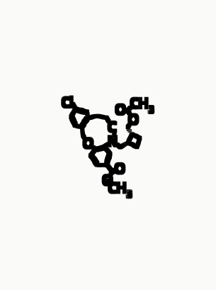 COC(=O)c1ccc2c(c1)N(C[C@@H]1CC[C@H]1COC(C)=O)CCCCc1cc(Cl)ccc1CO2